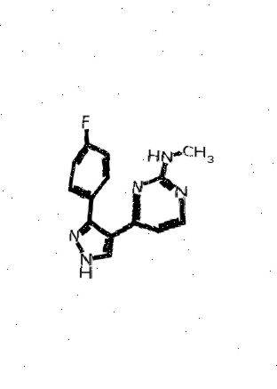 CNc1nccc(-c2c[nH]nc2-c2ccc(F)cc2)n1